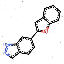 c1ccc2oc(-c3ccc4cn[nH]c4c3)cc2c1